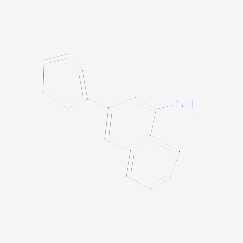 Nc1cc(-c2ccccc2)cc2ccccc12